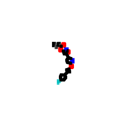 O=C(Oc1cc(-c2ccc(OC3CC(c4ccc(F)cc4)C3)nc2)on1)C(F)(F)F